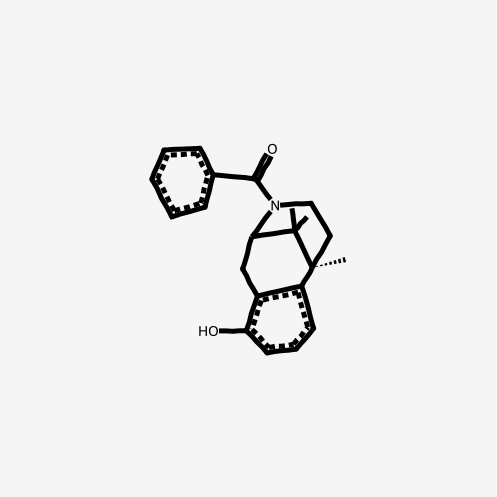 CC1(C)C2Cc3c(O)cccc3[C@]1(C)CCN2C(=O)c1ccccc1